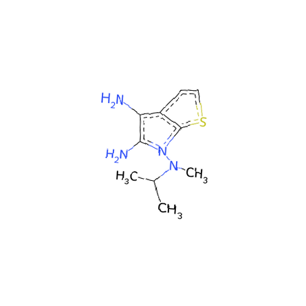 CC(C)N(C)n1c(N)c(N)c2ccsc21